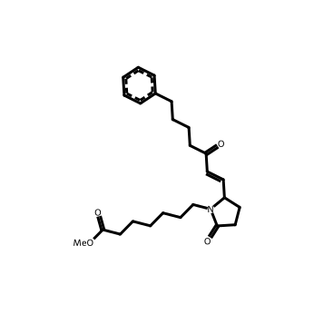 COC(=O)CCCCCCN1C(=O)CCC1C=CC(=O)CCCCc1ccccc1